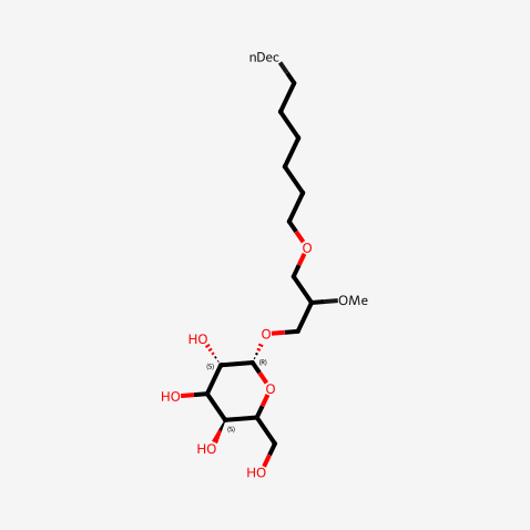 CCCCCCCCCCCCCCCCOCC(CO[C@@H]1OC(CO)[C@@H](O)C(O)[C@@H]1O)OC